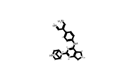 N=C/C(=C\N)c1ccc(Nc2nc(N3C4CNCC3C4)nc3c2COC3)cc1